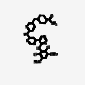 COc1cc(OC)c(Cl)c(Nc2ncncc2-c2cc(Nc3ccc(CN4CCN(C(N)=O)CC4)cn3)ncn2)c1Cl